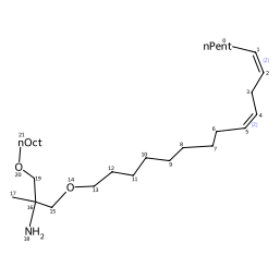 CCCCC/C=C\C/C=C\CCCCCCCCOCC(C)(N)COCCCCCCCC